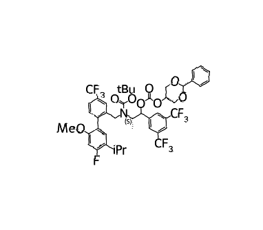 COc1cc(F)c(C(C)C)cc1-c1ccc(C(F)(F)F)cc1CN(C(=O)OC(C)(C)C)[C@@H](C)C(OC(=O)OC1COC(c2ccccc2)OC1)c1cc(C(F)(F)F)cc(C(F)(F)F)c1